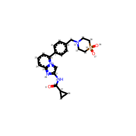 O=C(Nc1cn2c(-c3ccc(CN4CCS(=O)(=O)CC4)cc3)cccc2n1)C1CC1